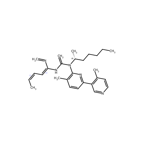 C=N/C(=C\C=C/C)NC(=C)N(c1nc(-c2cnccc2C)ccc1C)[C@H](C)CCCCC